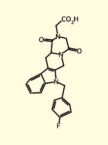 O=C(O)CN1CC(=O)N2Cc3c(c4ccccc4n3Cc3ccc(F)cc3)CC2C1=O